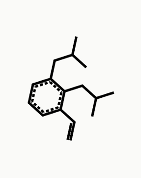 C=Cc1cccc(CC(C)C)c1CC(C)C